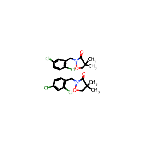 CC1(C)CON(Cc2cc(Cl)ccc2Cl)C1=O.CC1(C)CON(Cc2ccc(Cl)cc2Cl)C1=O